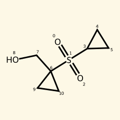 O=S(=O)(C1CC1)C1(CO)CC1